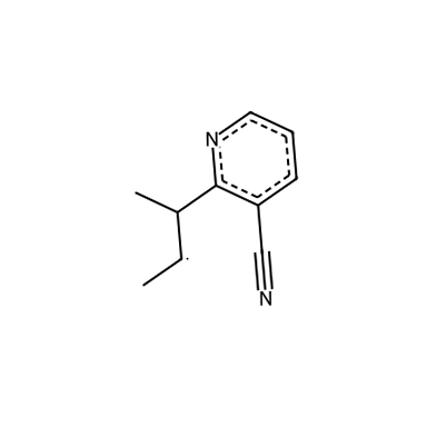 C[CH]C(C)c1ncccc1C#N